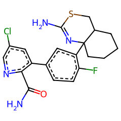 NC(=O)c1ncc(Cl)cc1-c1ccc(F)c(C23CCCCC2CSC(N)=N3)c1